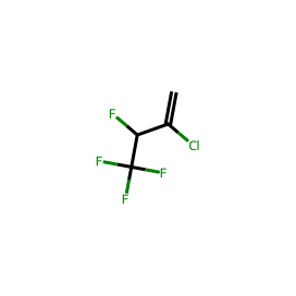 C=C(Cl)C(F)C(F)(F)F